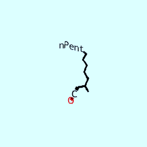 CCCCCCCCCCC(C)C=C=O